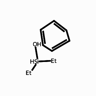 CC[SiH](O)CC.c1ccccc1